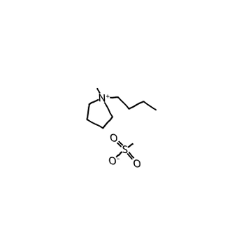 CCCC[N+]1(C)CCCC1.CS(=O)(=O)[O-]